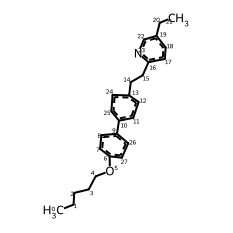 CCCCCOc1ccc(-c2ccc(CCc3ccc(CC)cn3)cc2)cc1